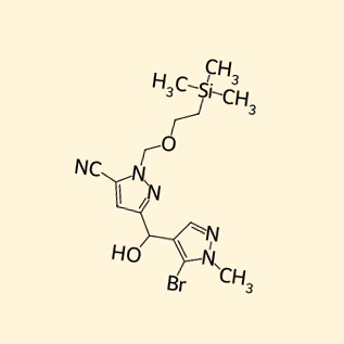 Cn1ncc(C(O)c2cc(C#N)n(COCC[Si](C)(C)C)n2)c1Br